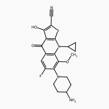 COc1c(N2CCC(N)CC2)c(F)cc2c(=O)c3c(O)c(C#N)sc3n(C3CC3)c12